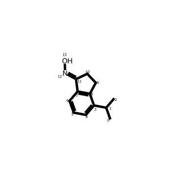 CC(C)c1cccc2c1CC/C2=N\O